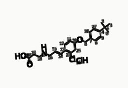 CC(C)(C)c1ccc(COc2ccc(C=CCNCCC(=O)O)c(Cl)c2)cc1.Cl